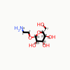 NCCO[C@H]1O[C@H](CO)[C@@H](O)[C@H](O)[C@H]1O